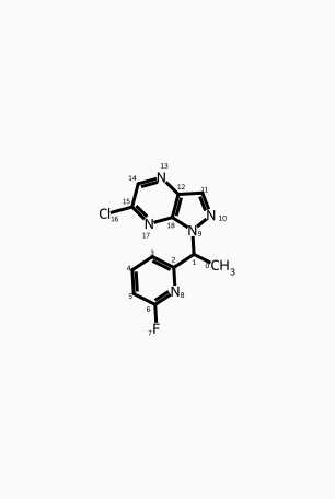 CC(c1cccc(F)n1)n1ncc2ncc(Cl)nc21